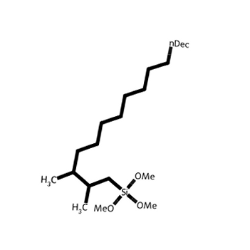 CCCCCCCCCCCCCCCCCC[C](C)C(C)C[Si](OC)(OC)OC